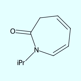 CC(C)N1C=CC=CCC1=O